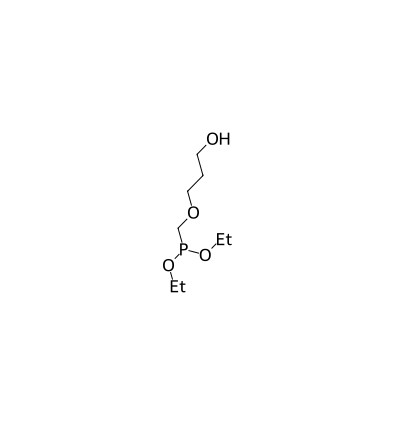 CCOP(COCCCO)OCC